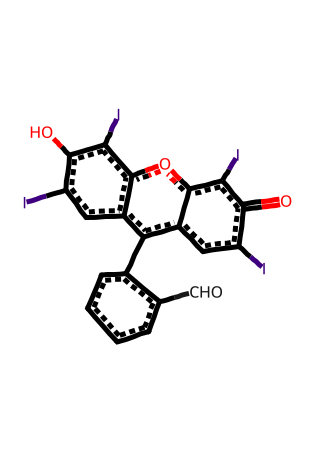 O=Cc1ccccc1-c1c2cc(I)c(=O)c(I)c-2oc2c(I)c(O)c(I)cc12